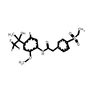 CCS(=O)(=O)c1ccc(CC(=O)Nc2cc(F)c(C(C)(O)C(F)(F)F)cc2OC)cc1